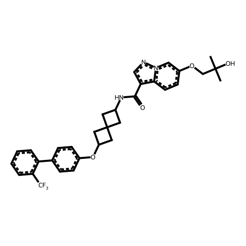 CC(C)(O)COc1ccc2c(C(=O)NC3CC4(C3)CC(Oc3ccc(-c5ccccc5C(F)(F)F)cc3)C4)cnn2c1